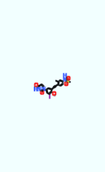 COc1c(I)cc(-n2ccc(=O)[nH]c2=O)cc1C#Cc1ccc(NS(C)(=O)=O)cc1C